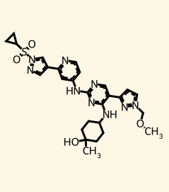 COCn1ccc(-c2cnc(Nc3ccnc(-c4cnn(S(=O)(=O)C5CC5)c4)c3)nc2NC2CCC(C)(O)CC2)n1